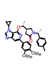 COc1ccc(-c2cc3ncn(C4CC4)c3c(O[C@H](C)[C@@H]3CC(=O)N([C@H](C)c4ccc(C)cc4)C3)n2)cc1OC